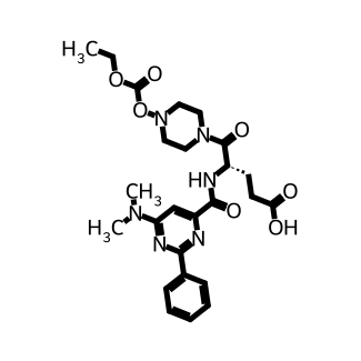 CCOC(=O)ON1CCN(C(=O)[C@H](CCC(=O)O)NC(=O)c2cc(N(C)C)nc(-c3ccccc3)n2)CC1